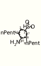 CCCCCc1cc([SH](=O)=O)cc(CCCCC)c1N